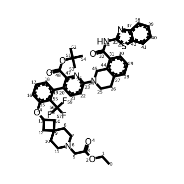 CCOC(=O)CN1CCC2(CC1)CC(Oc1cccc(-c3ccc(N4CCc5cccc(C(=O)Nc6nc7ccccc7s6)c5C4)nc3C(=O)OC(C)(C)C)c1C(F)(F)F)C2